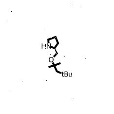 CC(C)(C)CC(C)(C)OC[C@@H]1CCCN1